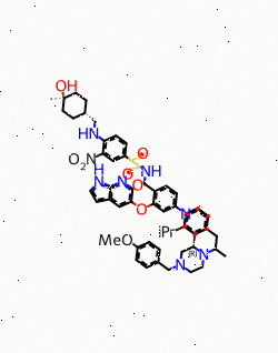 COc1ccc(CN2CCN(C(C)CC3CCN(c4ccc(C(=O)NS(=O)(=O)c5ccc(NC[C@H]6CC[C@](C)(O)CC6)c([N+](=O)[O-])c5)c(Oc5cnc6[nH]ccc6c5)c4)CC3)[C@H](c3ccccc3C(C)C)C2)cc1